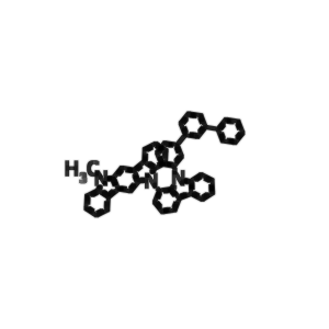 Cn1c2ccccc2c2cc3c(cc21)c1ccccc1n3-c1cccc2c3ccccc3n(-c3cccc(-c4cccc(-c5ccccc5)c4)c3)c12